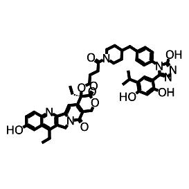 CCc1c2c(nc3ccc(O)cc13)-c1cc3c(c(=O)n1C2)COC(=O)[C@]3(CC)OC(=O)CCC(=O)N1CCC(Cc2ccc(-n3c(O)nnc3-c3cc(C(C)C)c(O)cc3O)cc2)CC1